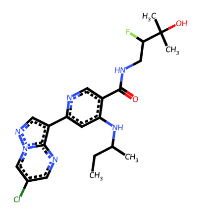 CCC(C)Nc1cc(-c2cnn3cc(Cl)cnc23)ncc1C(=O)NCC(F)C(C)(C)O